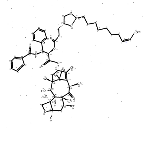 CCCCCCCC/C=C\CCCCCCC[C@@H]1OC[C@@H](COC(=O)O[C@@H](C(=O)O[C@H]2C[C@@]3(O)[C@@H](O)[C@@H]4[C@]5(OC(C)=O)CO[C@@H]5C[C@H](O)[C@@]4(C)C(=O)[C@H](OC(C)=O)C(=C2C)C3(C)C)[C@@H](NC(=O)c2ccccc2)c2ccccc2)O1